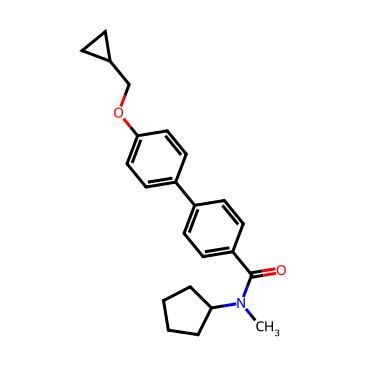 CN(C(=O)c1ccc(-c2ccc(OCC3CC3)cc2)cc1)C1CCCC1